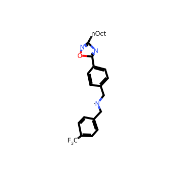 CCCCCCCCc1noc(-c2ccc(C[N]Cc3ccc(C(F)(F)F)cc3)cc2)n1